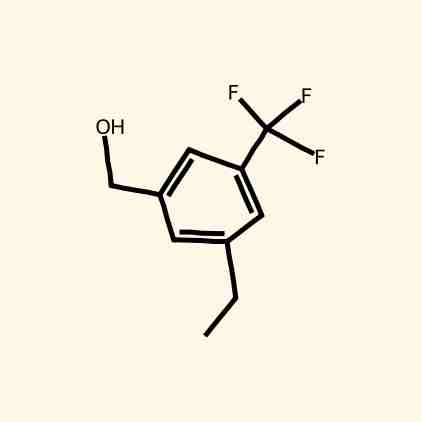 CCc1cc(CO)cc(C(F)(F)F)c1